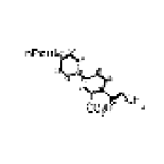 CC=C(C(=O)O)[C@H]1CC[C@H]([C@H]2CC[C@H](CCCCC)CC2)CC1